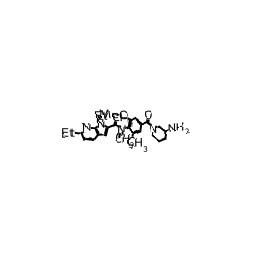 C=C(c1cc2ccc(CC)nc2n1CC)N(C)c1c(C)cc(C(=O)N2CCCC(N)C2)cc1OC